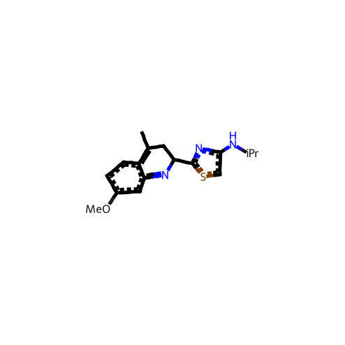 COc1ccc2c(c1)=NC(c1nc(NC(C)C)cs1)CC=2C